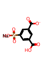 O=C([O-])c1cc(C(=O)O)cc(S(=O)(=O)O)c1.[Na+]